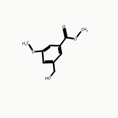 COC(=O)c1cc([CH]O)cc(OC)c1